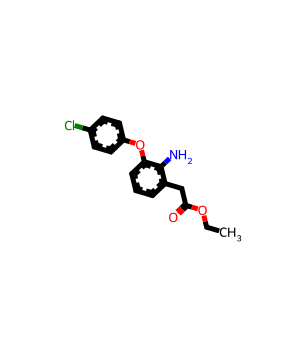 CCOC(=O)Cc1cccc(Oc2ccc(Cl)cc2)c1N